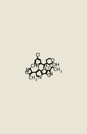 Cc1noc(C)c1-c1cnc2c3onc(C(C)(C)O)c3n(C(c3cc(Cl)ccn3)C3CCOCC3)c2c1